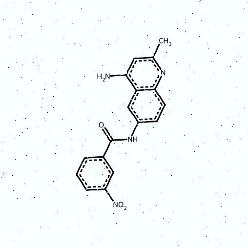 Cc1cc(N)c2cc(NC(=O)c3cccc([N+](=O)[O-])c3)ccc2n1